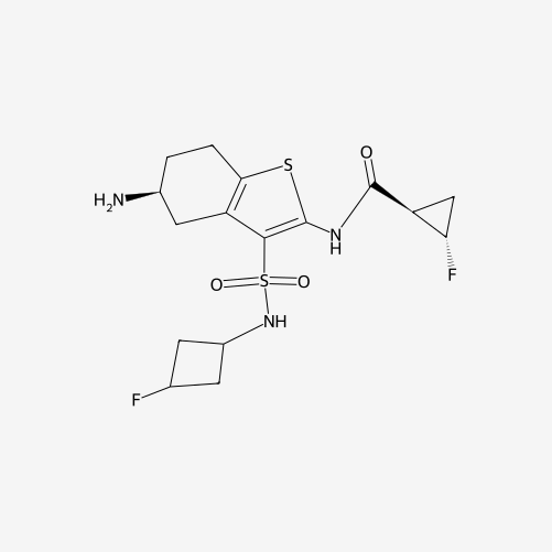 N[C@H]1CCc2sc(NC(=O)[C@H]3C[C@@H]3F)c(S(=O)(=O)NC3CC(F)C3)c2C1